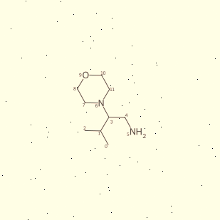 CC(C)C(CN)N1CCOCC1